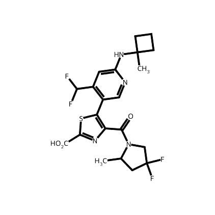 CC1CC(F)(F)CN1C(=O)c1nc(C(=O)O)sc1-c1cnc(NC2(C)CCC2)cc1C(F)F